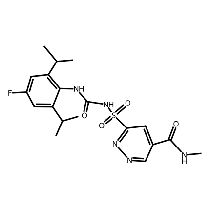 CNC(=O)c1cnnc(S(=O)(=O)NC(=O)Nc2c(C(C)C)cc(F)cc2C(C)C)c1